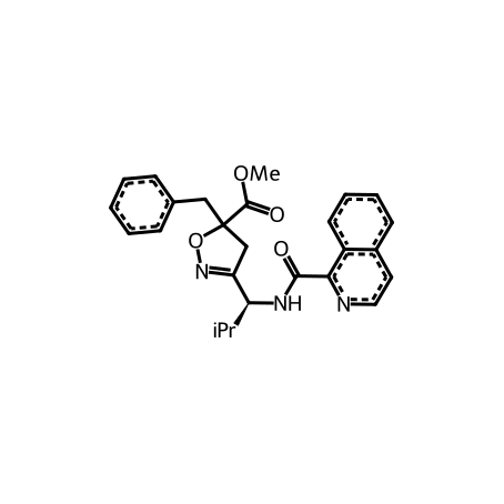 COC(=O)C1(Cc2ccccc2)CC([C@@H](NC(=O)c2nccc3ccccc23)C(C)C)=NO1